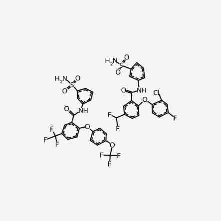 NS(=O)(=O)c1cccc(NC(=O)c2cc(C(F)(F)F)ccc2Oc2ccc(OC(F)(F)F)cc2)c1.NS(=O)(=O)c1cccc(NC(=O)c2cc(C(F)F)ccc2Oc2ccc(F)cc2Cl)c1